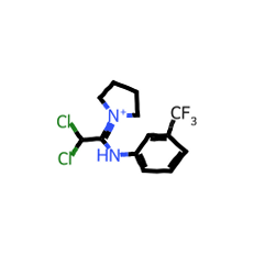 FC(F)(F)c1cccc(NC(C(Cl)Cl)=[N+]2CCCC2)c1